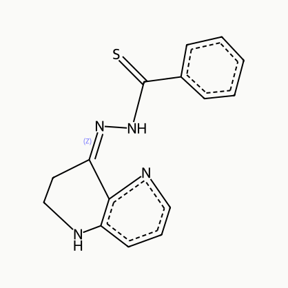 S=C(N/N=C1/CCNc2cccnc21)c1ccccc1